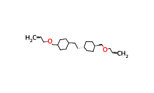 C=CCOCC1CCC(CC[C@H]2CC[C@H](COCC=C)CC2)CC1